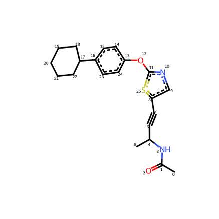 CC(=O)NC(C)C#Cc1cnc(Oc2ccc(C3CCCCC3)cc2)s1